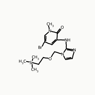 Cn1cc(Br)cc(Nc2nccn2COCC[Si](C)(C)C)c1=O